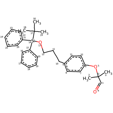 CC(C)(C=O)Oc1ccc(CCCO[Si](c2ccccc2)(c2ccccc2)C(C)(C)C)cc1